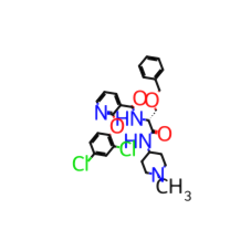 CN1CCC(NC(=O)[C@@H](COCc2ccccc2)NC(=O)c2cccnc2Oc2ccc(Cl)cc2Cl)CC1